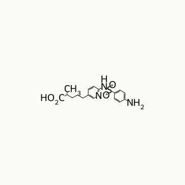 CC(CCCc1ccc(NS(=O)(=O)c2ccc(N)cc2)nc1)C(=O)O